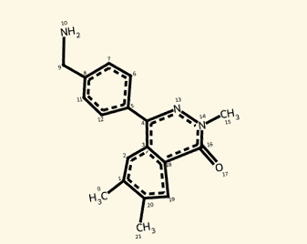 Cc1cc2c(-c3ccc(CN)cc3)nn(C)c(=O)c2cc1C